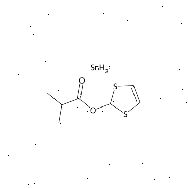 CC(C)C(=O)OC1SC=CS1.[SnH2]